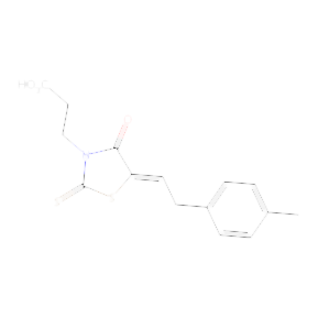 Cc1ccc(C/C=C2\SC(=S)N(CCC(=O)O)C2=O)cc1